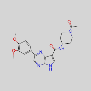 COc1ccc(-c2cnc3[nH]cc(C(=O)NC4CCN(C(C)=O)CC4)c3n2)cc1OC